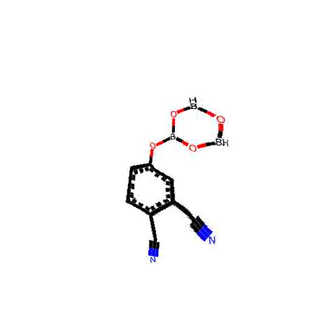 N#Cc1ccc(OB2OBOBO2)cc1C#N